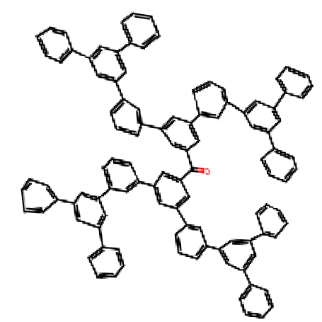 O=C(c1cc(-c2cccc(-c3cc(-c4ccccc4)cc(-c4ccccc4)c3)c2)cc(-c2cccc(-c3cc(-c4ccccc4)cc(-c4ccccc4)c3)c2)c1)c1cc(-c2cccc(-c3cc(-c4ccccc4)cc(-c4ccccc4)c3)c2)cc(-c2cccc(-c3cc(-c4ccccc4)cc(-c4ccccc4)c3)c2)c1